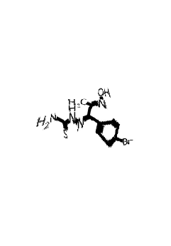 CC(=NO)C(=NNC(N)=S)c1ccc(Br)cc1